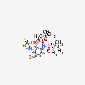 CC(C)(C)OC(=O)N(C(=O)OC(C)(C)C)c1ccc(Br)c(NCC(F)F)c1[N+](=O)[O-]